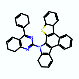 C1=CCCC(c2nc(-n3c4c(c5c6ccccc6c6c(c53)SC3C=CC=CC63)C=CCC4)nc3c2C=CCC3)=C1